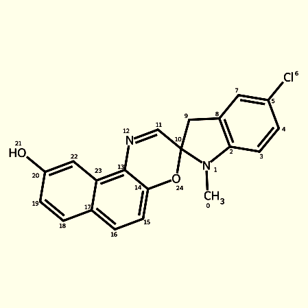 CN1c2ccc(Cl)cc2CC12C=Nc1c(ccc3ccc(O)cc13)O2